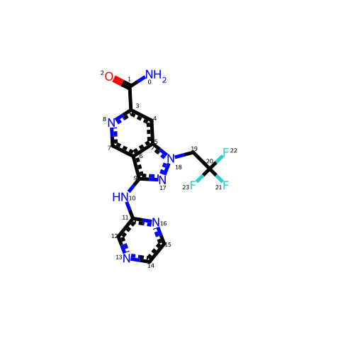 NC(=O)c1cc2c(cn1)c(Nc1cnccn1)nn2CC(F)(F)F